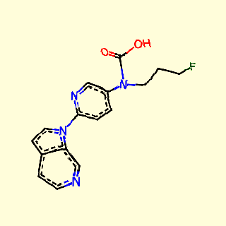 O=C(O)N(CCCF)c1ccc(-n2ccc3ccncc32)nc1